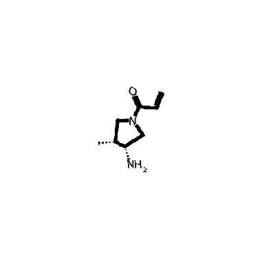 C=CC(=O)N1C[C@@H](C)[C@@H](N)C1